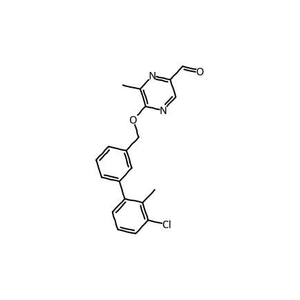 Cc1nc(C=O)cnc1OCc1cccc(-c2cccc(Cl)c2C)c1